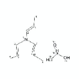 CC=CN(C=CC)C=CC.O=[PH](O)O